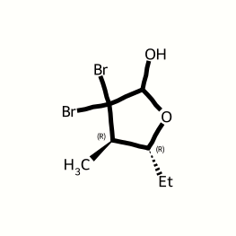 CC[C@H]1OC(O)C(Br)(Br)[C@@H]1C